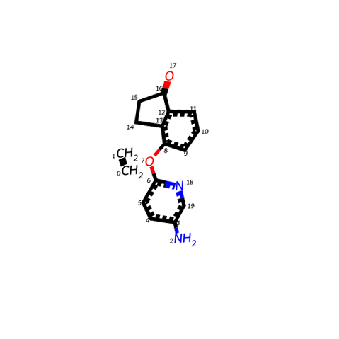 C=C.Nc1ccc(Oc2cccc3c2CCC3=O)nc1